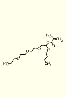 C=C(C)C(=O)OC(COCCOCCOCCO)OCCCC